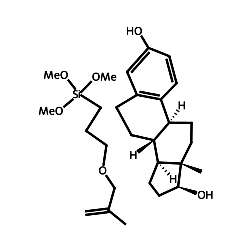 C=C(C)COCCC[Si](OC)(OC)OC.C[C@]12CC[C@@H]3c4ccc(O)cc4CC[C@H]3[C@@H]1CC[C@@H]2O